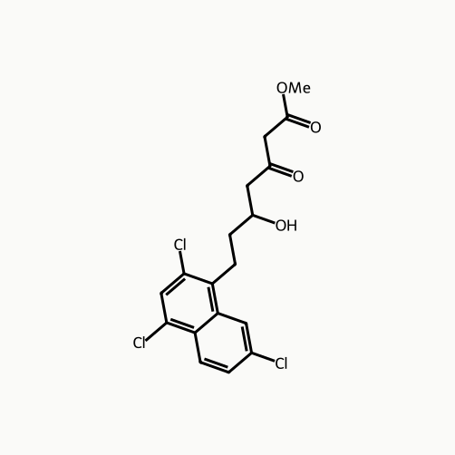 COC(=O)CC(=O)CC(O)CCc1c(Cl)cc(Cl)c2ccc(Cl)cc12